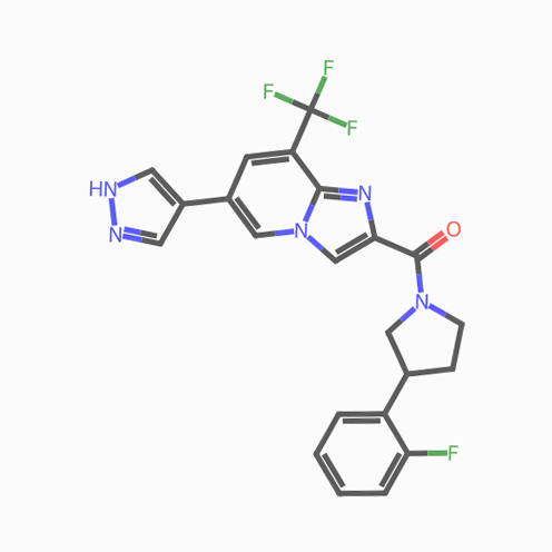 O=C(c1cn2cc(-c3cn[nH]c3)cc(C(F)(F)F)c2n1)N1CCC(c2ccccc2F)C1